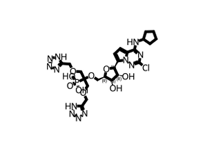 O=P(O)(O)C(COCc1nnn[nH]1)(COCc1nnn[nH]1)OC[C@H]1O[C@@H](c2ccc3c(NC4CCCC4)nc(Cl)nn23)[C@H](O)[C@@H]1O